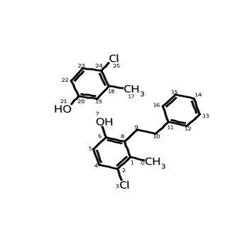 Cc1c(Cl)ccc(O)c1CCc1ccccc1.Cc1cc(O)ccc1Cl